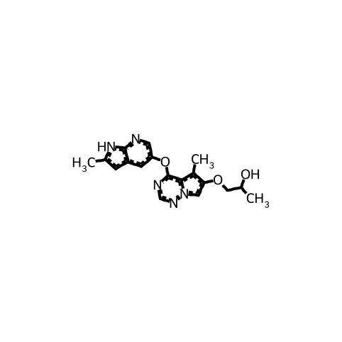 Cc1cc2cc(Oc3ncnn4cc(OCC(C)O)c(C)c34)cnc2[nH]1